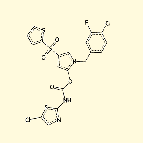 O=C(Nc1ncc(Cl)s1)Oc1cc(S(=O)(=O)c2cccs2)cn1Cc1ccc(Cl)c(F)c1